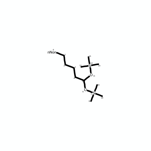 CCCCCCCCCCCCCC(O[Si](C)(C)C)O[Si](C)(C)C